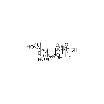 C[C@H](NC(=O)[C@@H](N)CS)C(=O)NCC(=O)N[C@@H](CO)C(=O)N[C@H](C(=O)N1CCC[C@H]1C(=O)NCC(=O)O)[C@@H](C)O